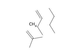 C.C=C(C)C.C=CCC.CCCC